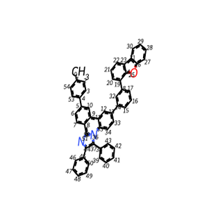 Cc1ccc(-c2ccc3c(c2)c2cc(-c4cccc(-c5cccc6c5oc5ccccc56)c4)ccc2n2c(-c4ccccc4)c(-c4ccccc4)nc32)cc1